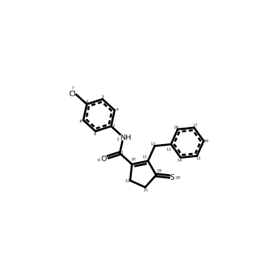 O=C(Nc1ccc(Cl)cc1)C1=C(Cc2ccccc2)C(=S)CC1